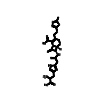 Cc1nnc(SCC2=C(C(=O)O)N3C(=O)[C@@H](NC(=S)Cc4nc(CC(N)C(=O)O)c[nH]4)[C@@H]3SC2)o1